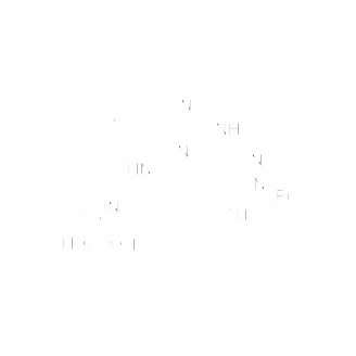 CCn1nc(Nc2ncc(Cl)c(Nc3cccc(F)c3NS(C)(=O)=O)n2)cc1C